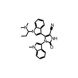 CCC(N(C)C)n1cc(-c2c(C#N)[nH]c(=O)n2-c2cn(C)c3ccccc23)c2ccccc21